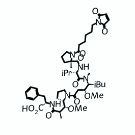 CC[C@H](C)[C@@H]([C@@H](CC(=O)N1CCC[C@H]1[C@H](OC)[C@@H](C)C(=O)N[C@@H](Cc1ccccc1)C(=O)O)OC)N(C)C(=O)[C@@H](NC(=O)[C@]1(C)CCCN1C(=O)CCCCCN1C(=O)C=CC1=O)C(C)C